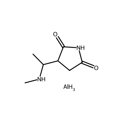 CNC(C)C1CC(=O)NC1=O.[AlH3]